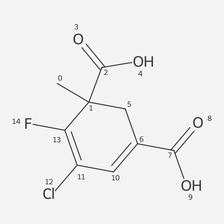 CC1(C(=O)O)CC(C(=O)O)=CC(Cl)=C1F